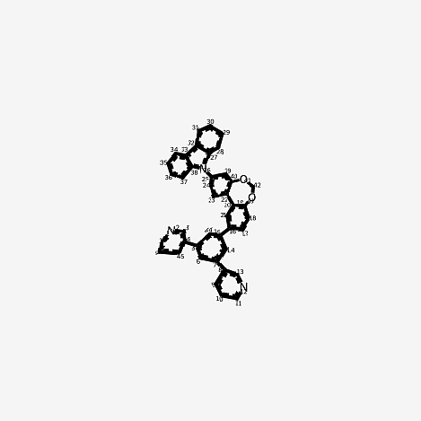 c1cncc(-c2cc(-c3cccnc3)cc(-c3ccc4c(c3)-c3ccc(-n5c6ccccc6c6ccccc65)cc3OCO4)c2)c1